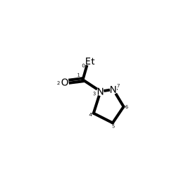 CCC(=O)N1CCC[N]1